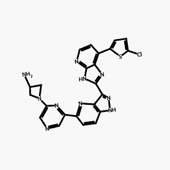 NC1CN(c2cncc(-c3ccc4[nH]nc(-c5nc6c(-c7ccc(Cl)s7)ccnc6[nH]5)c4n3)n2)C1